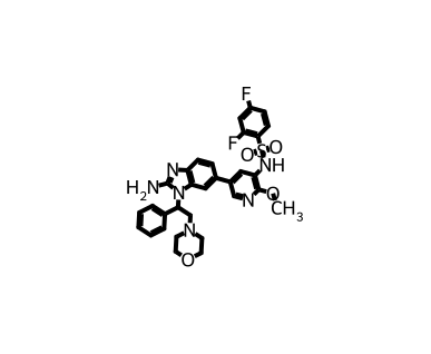 COc1ncc(-c2ccc3nc(N)n(C(CN4CCOCC4)c4ccccc4)c3c2)cc1NS(=O)(=O)c1ccc(F)cc1F